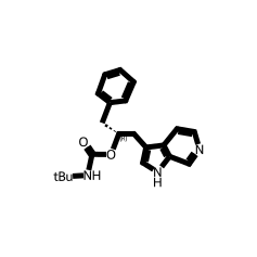 CC(C)(C)NC(=O)O[C@H](Cc1ccccc1)Cc1c[nH]c2cnccc12